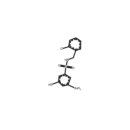 O=S(=O)(NCc1ccccc1Cl)c1cc(S)cc([AsH2])c1